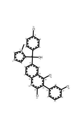 Cn1cncc1C(O)(c1ccc(Cl)cc1)c1ccc2nc(Cl)c(-c3cccc(Cl)c3)c(Cl)c2c1